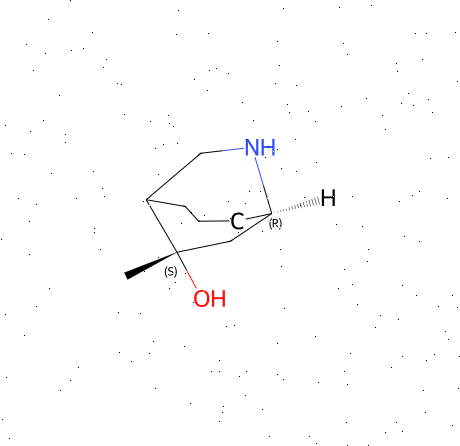 C[C@]1(O)C[C@H]2CCCC1CN2